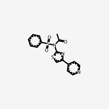 CC(=O)N(c1nc(-c2ccncc2)cs1)S(=O)(=O)c1ccccc1